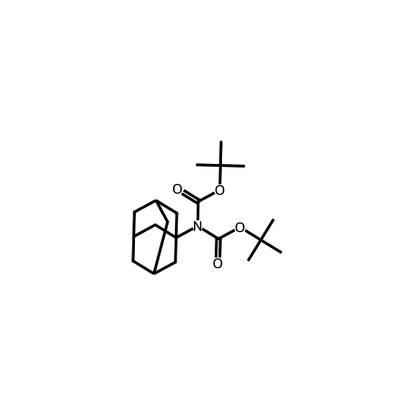 CC(C)(C)OC(=O)N(C(=O)OC(C)(C)C)C12CC3CC(CC(C3)C1)C2